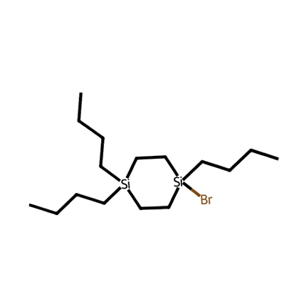 CCCC[Si]1(Br)CC[Si](CCCC)(CCCC)CC1